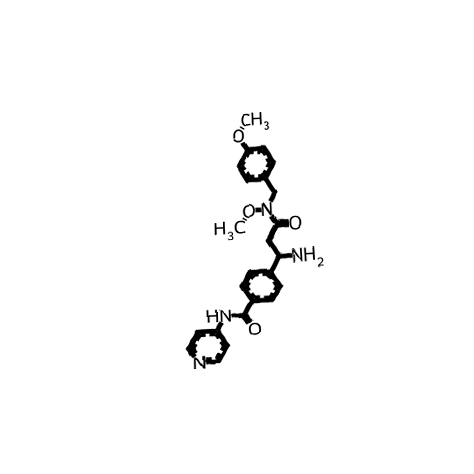 COc1ccc(CN(OC)C(=O)CC(N)c2ccc(C(=O)Nc3ccncc3)cc2)cc1